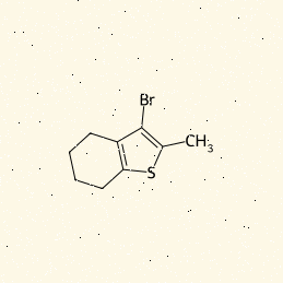 Cc1sc2c(c1Br)CCCC2